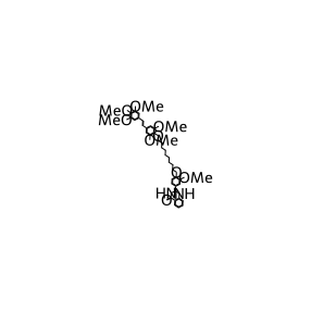 COc1cc(C2NC(=O)c3ccccc3N2)ccc1OCCCCCCCCCOc1c(OC)cc(C=Cc2cc(OC)c(OC)c(OC)c2)cc1OC